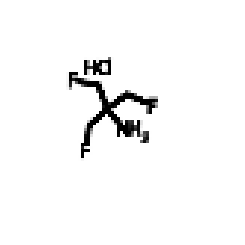 Cl.NC(CF)(CF)CF